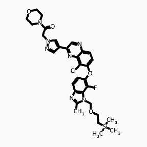 Cc1nc2ccc(Oc3ccc4ncc(-c5cnn(CC(=O)N6CCOCC6)c5)nc4c3Cl)c(F)c2n1COCC[Si](C)(C)C